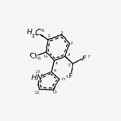 Cc1ccc(C(F)F)c(-c2ccc[nH]2)c1Cl